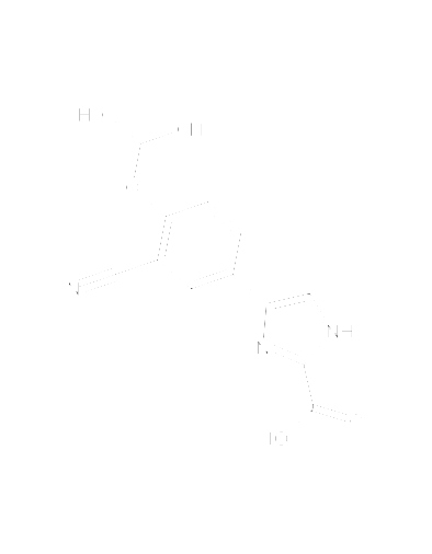 CC(C)Oc1ccc(-c2c[nH]c(C(=O)O)n2)cc1C#N